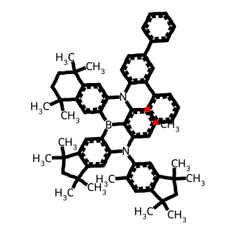 Cc1cc2c3c(c1)N(c1ccc(-c4ccccc4)cc1-c1ccccc1)c1cc4c(cc1B3c1cc3c(cc1N2c1cc2c(cc1C)C(C)(C)CC2(C)C)C(C)(C)CC3(C)C)C(C)(C)CCC4(C)C